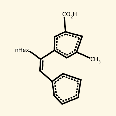 CCCCCCC(=Cc1ccccc1)c1cc(C)cc(C(=O)O)c1